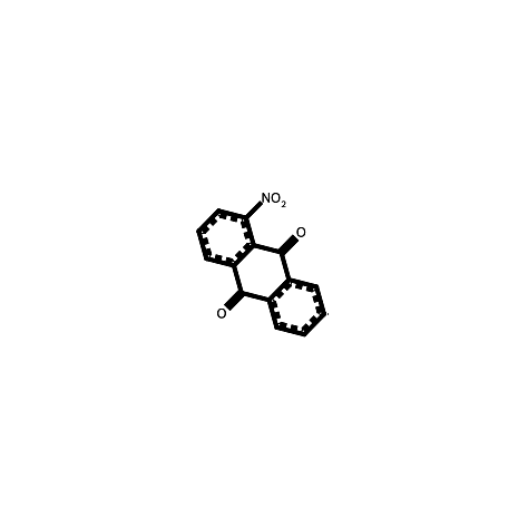 O=C1c2cc[c]cc2C(=O)c2c1cccc2[N+](=O)[O-]